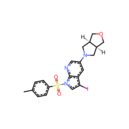 Cc1ccc(S(=O)(=O)n2cc(I)c3cc(N4C[C@H]5COC[C@H]5C4)cnc32)cc1